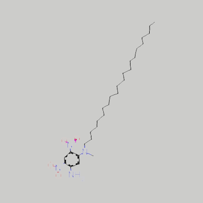 CCCCCCCCCCCCCCCCCCCCCCN(C)c1cc(N)c([N+](=O)[O-])cc1[N+](=O)[O-]